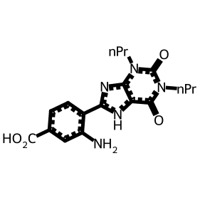 CCCn1c(=O)c2[nH]c(-c3ccc(C(=O)O)cc3N)nc2n(CCC)c1=O